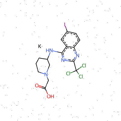 O=C(O)CN1CCCC(Nc2nc(C(Cl)(Cl)Cl)nc3ccc(I)cc23)C1.[K]